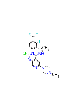 C[C@@H](Nc1nc(Cl)nc2cnc(N3CCN(C)CC3)cc12)c1cccc(C(F)F)c1F